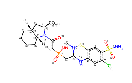 CN1Sc2cc(S(N)(=O)=O)c(Cl)cc2NC1CP(=O)(O)CC(=O)N1[C@@H]2CCCC[C@@H]2C[C@H]1C(=O)O